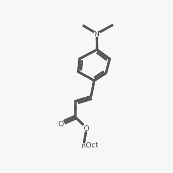 CCCCCCCCOC(=O)C=Cc1ccc(N(C)C)cc1